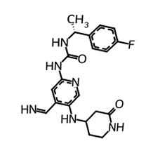 C[C@@H](NC(=O)Nc1cc(C=N)c(NC2CCNC(=O)C2)cn1)c1ccc(F)cc1